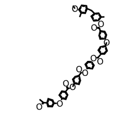 COc1ccc(Cc2ccc(OC(=O)c3ccc(Oc4ccc(C(=O)Oc5ccc(OC(=O)c6ccc(OC(=O)c7ccc(Oc8ccc(C(C)=O)cc8)cc7)cc6)cc5)cc4)cc3)c(C)c2)cc1C